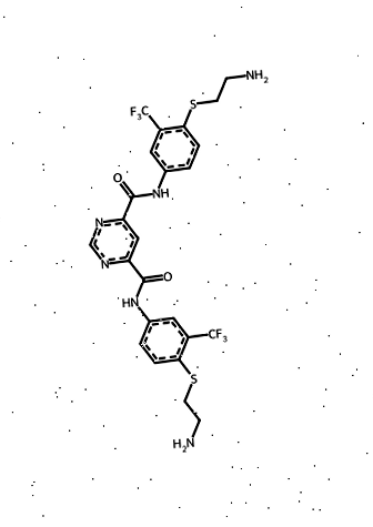 NCCSc1ccc(NC(=O)c2cc(C(=O)Nc3ccc(SCCN)c(C(F)(F)F)c3)ncn2)cc1C(F)(F)F